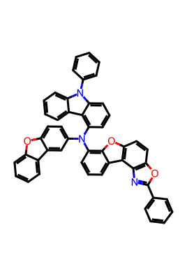 c1ccc(-c2nc3c(ccc4oc5c(N(c6ccc7oc8ccccc8c7c6)c6cccc7c6c6ccccc6n7-c6ccccc6)cccc5c43)o2)cc1